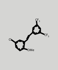 COc1ccc(Cl)cc1C=Cc1cc(C(F)(F)F)cc(C(F)(F)F)c1